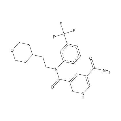 NC(=O)C1=CNCC(C(=O)N(CCC2CCOCC2)c2cccc(C(F)(F)F)c2)=C1